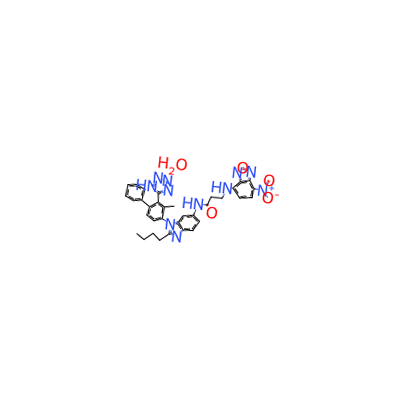 CCCCc1nc2ccc(NC(=O)CCNc3ccc([N+](=O)[O-])c4nonc34)cc2n1-c1ccc(-c2ccccc2)c(-c2nnn[nH]2)c1C.O